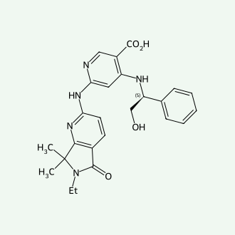 CCN1C(=O)c2ccc(Nc3cc(N[C@H](CO)c4ccccc4)c(C(=O)O)cn3)nc2C1(C)C